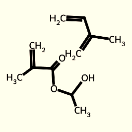 C=C(C)C(=O)OC(C)O.C=CC(=C)C